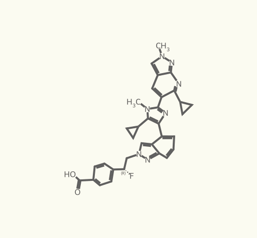 Cn1cc2cc(-c3nc(-c4cccc5nn(C[C@H](F)c6ccc(C(=O)O)cc6)cc45)c(C4CC4)n3C)c(C3CC3)nc2n1